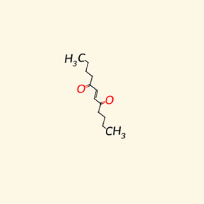 CCCCC(=O)/C=C/C(=O)CCCC